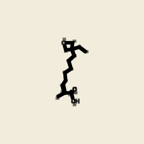 CCC1(CCCCCC=C(C)C(=O)O)COC1